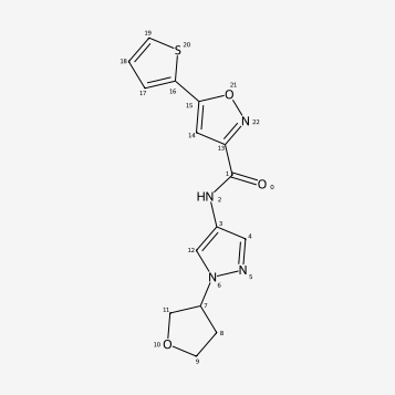 O=C(Nc1cnn(C2CCOC2)c1)c1cc(-c2cccs2)on1